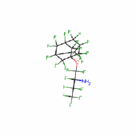 NC(F)(C(F)(F)OC12C(F)(F)C3(F)C(F)(F)C(F)(C(F)(F)C(F)(C3(F)F)C1(F)F)C2(F)F)C(F)(F)C(F)(F)F